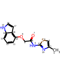 Cc1csc(NC(=O)COc2cccc3[nH]ccc23)n1